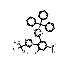 CC(C)(C)c1cn(-c2c(F)cc([N+](=O)[O-])cc2-c2nnn(C(c3ccccc3)(c3ccccc3)c3ccccc3)n2)cn1